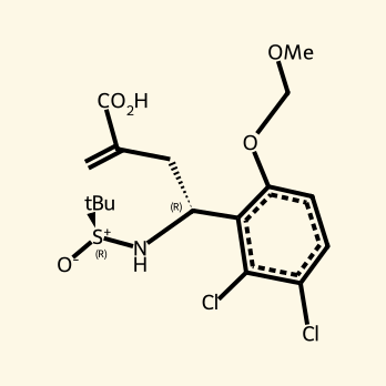 C=C(C[C@@H](N[S@@+]([O-])C(C)(C)C)c1c(OCOC)ccc(Cl)c1Cl)C(=O)O